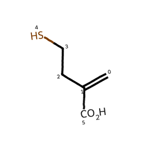 C=C(CCS)C(=O)O